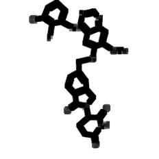 COc1cc2ncnc(Nc3cccc(Cl)c3F)c2cc1OCc1ccc2c(c1)CN(C1CCC(=O)NC1=O)C2=O